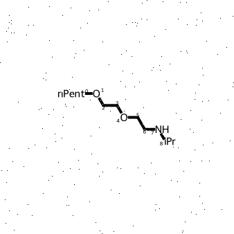 CCCCCOCCOCCNC(C)C